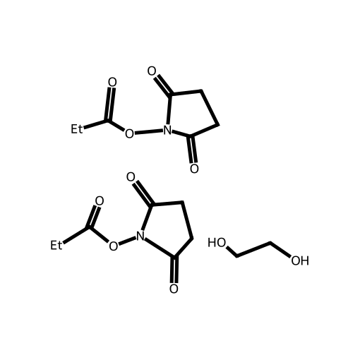 CCC(=O)ON1C(=O)CCC1=O.CCC(=O)ON1C(=O)CCC1=O.OCCO